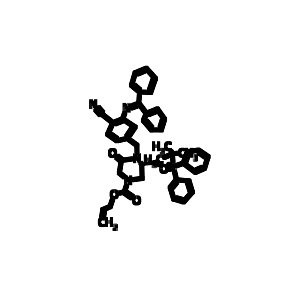 C=CCOC(=O)N1CC(=O)N(Cc2ccc(C#N)c(N=C(c3ccccc3)c3ccccc3)c2)[C@@H](CO[Si](c2ccccc2)(c2ccccc2)C(C)(C)C)C1